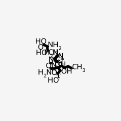 CC(O)C(N)C(=O)O.CCCCC[C@@]1(O)[C@H](O)[C@@H](CO)O[C@@]1(C(N)=O)n1cnc2c(N)ncnc21